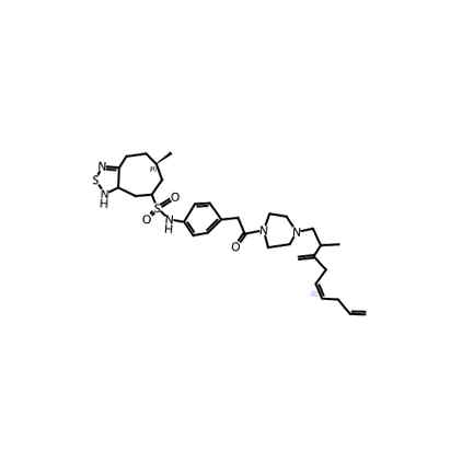 C=CC/C=C\CC(=C)C(C)CN1CCN(C(=O)Cc2ccc(NS(=O)(=O)C3CC4NSN=C4CC[C@@H](C)C3)cc2)CC1